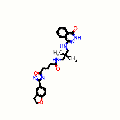 CC(C)(CNC(=O)CCCc1nc(-c2ccc3c(c2)CCO3)no1)CNc1n[nH]c(=O)c2ccccc12